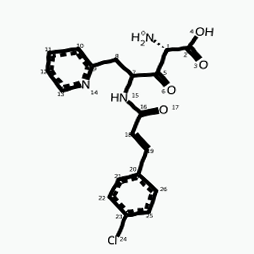 N[C@H](C(=O)O)C(=O)C(Cc1ccccn1)NC(=O)C=Cc1ccc(Cl)cc1